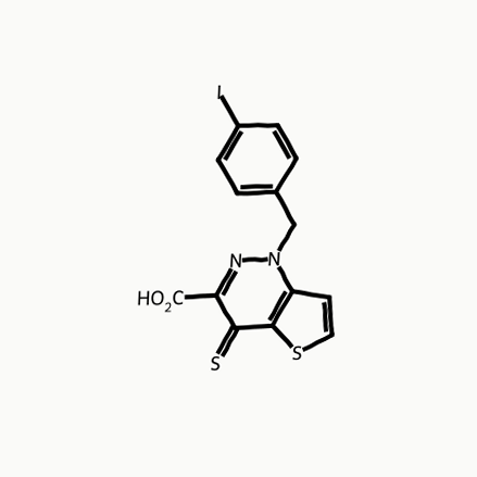 O=C(O)c1nn(Cc2ccc(I)cc2)c2ccsc2c1=S